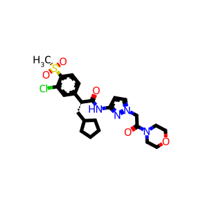 CS(=O)(=O)c1ccc([C@@H](CC2CCCC2)C(=O)Nc2ccn(CC(=O)N3CCOCC3)n2)cc1Cl